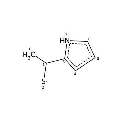 CC([S])c1ccc[nH]1